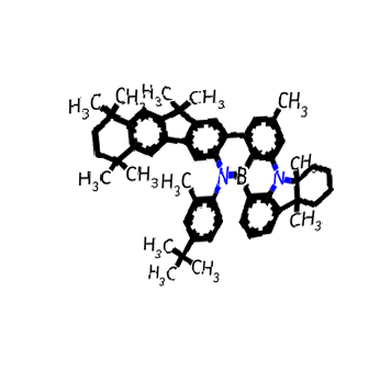 Cc1cc2c3c(c1)N1c4c(cccc4C4(C)CCCCC14C)B3N(c1ccc(C(C)(C)C)cc1C)c1cc3c(cc1-2)C(C)(C)c1cc2c(cc1-3)C(C)(C)CCC2(C)C